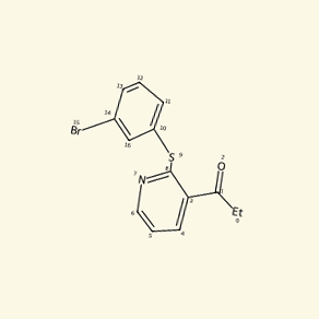 CCC(=O)c1cccnc1Sc1cccc(Br)c1